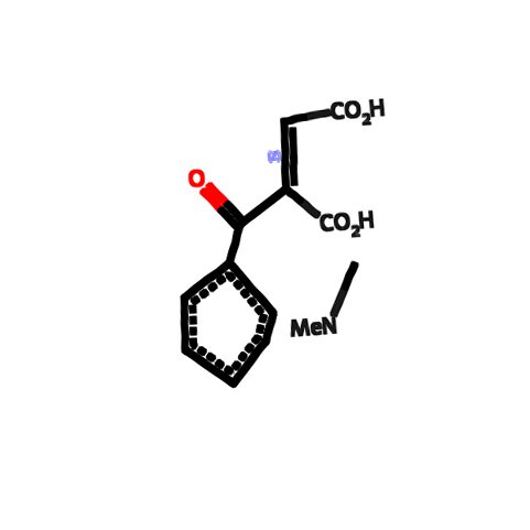 CNC.O=C(O)/C=C(\C(=O)O)C(=O)c1ccccc1